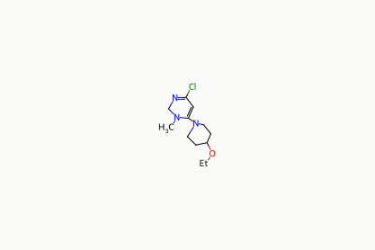 CCOC1CCN(C2=CC(Cl)=NCN2C)CC1